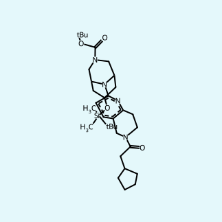 CC(C)(C)OC(=O)N1CC2CC(O[Si](C)(C)C(C)(C)C)CC(C1)N2c1ccc2c(n1)CCN(C(=O)CC1CCCC1)C2